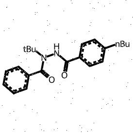 CCCCc1ccc(C(=O)NN(C(=O)c2ccccc2)C(C)(C)C)cc1